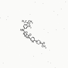 CC(=O)N1CCN(c2ccc(NC(=O)c3nnc(Nc4ccc(C(C)(C)C)cc4)o3)cn2)CC1